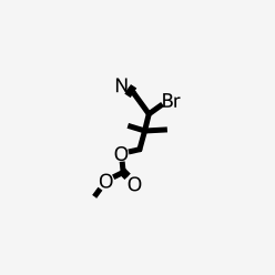 COC(=O)OCC(C)(C)C(Br)C#N